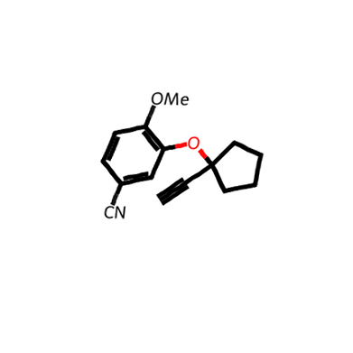 C#CC1(Oc2cc(C#N)ccc2OC)CCCC1